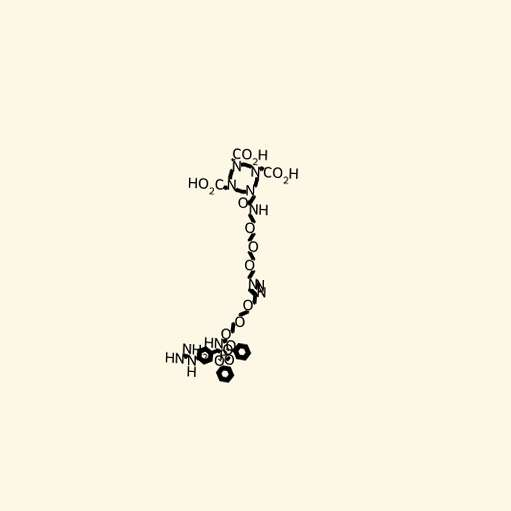 N=C(N)Nc1ccc(C(NC(=O)OCCOCCOCc2cn(CCOCCOCCOCCNC(=O)CN3CCN(CC(=O)O)CCN(CC(=O)O)CCN(CC(=O)O)CC3)nn2)P(=O)(Oc2ccccc2)Oc2ccccc2)cc1